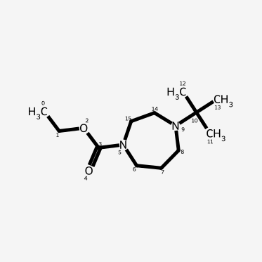 CCOC(=O)N1CCCN(C(C)(C)C)CC1